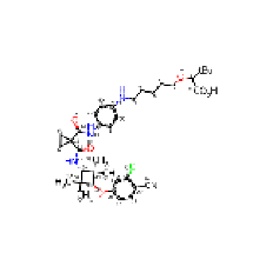 CC(C)(C)C(OCCCCCNc1ccc(NC(=O)C2(C(=O)N[C@H]3C(C)(C)[C@H](Oc4ccc(C#N)c(Cl)c4)C3(C)C)CC2)cc1)C(=O)O